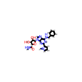 CNC(=O)[C@H]1O[C@@H](n2cnc3c(NCc4ccccc4)nc(-c4cccn4C)nc32)[C@H](O)[C@@H]1O